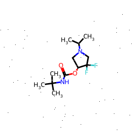 CC(C)N1C[C@H](OC(=O)NC(C)(C)C)C(F)(F)C1